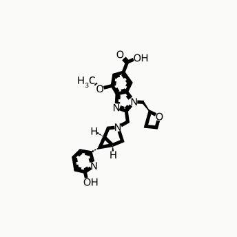 COc1cc(C(=O)O)cc2c1nc(CN1C[C@@H]3[C@H](C1)[C@H]3c1cccc(O)n1)n2C[C@@H]1CCO1